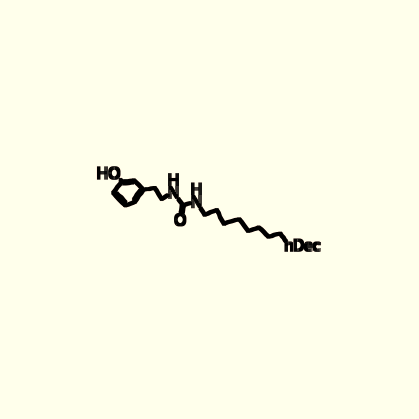 CCCCCCCCCCCCCCCCCCNC(=O)NCCc1cccc(O)c1